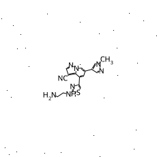 Cn1cc(-c2cc(-c3csc(NCCN)n3)c3c(C#N)cnn3c2)cn1